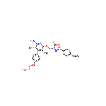 COc1ccc(-c2nc(COc3nc(N)c(C#N)c(-c4ccc(OCCO)cc4)c3C#N)c(C)o2)cc1